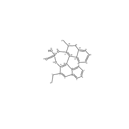 CCc1cc2ccccc2c2c1OP(=O)(O)OC1=C2c2ccccc2CC1C